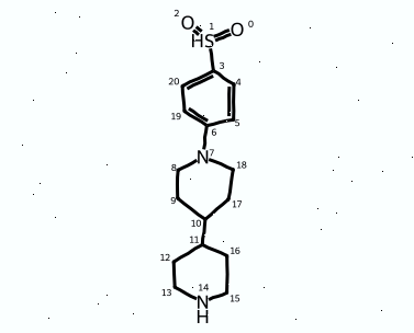 O=[SH](=O)c1ccc(N2CCC(C3CCNCC3)CC2)cc1